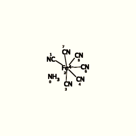 N.N#[C][Fe-4]([C]#N)([C]#N)([C]#N)([C]#N)[C]#N